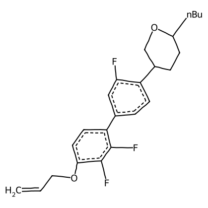 C=CCOc1ccc(-c2ccc(C3CCC(CCCC)OC3)c(F)c2)c(F)c1F